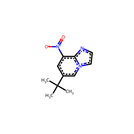 CC(C)(C)c1cc([N+](=O)[O-])c2nccn2c1